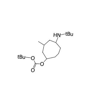 CC1CC(NC(C)(C)C)CCCC(OC(=O)OC(C)(C)C)C1